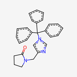 O=C1CCCN1Cc1cn(C(c2ccccc2)(c2ccccc2)c2ccccc2)cn1